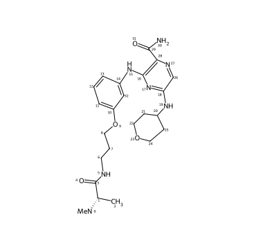 CN[C@@H](C)C(=O)NCCCOc1cccc(Nc2nc(NC3CCOCC3)cnc2C(N)=O)c1